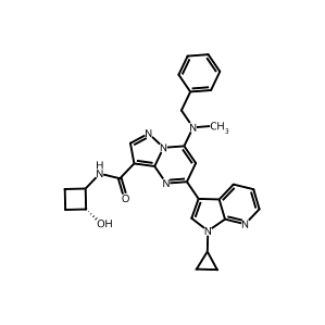 CN(Cc1ccccc1)c1cc(-c2cn(C3CC3)c3ncccc23)nc2c(C(=O)NC3CC[C@H]3O)cnn12